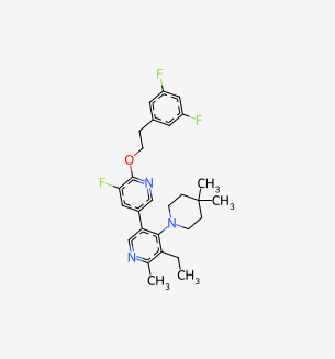 CCc1c(C)ncc(-c2cnc(OCCc3cc(F)cc(F)c3)c(F)c2)c1N1CCC(C)(C)CC1